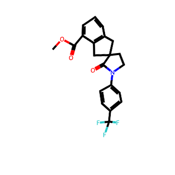 COC(=O)c1cccc2c1CC1(CCN(c3ccc(C(F)(F)F)cc3)C1=O)C2